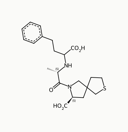 C[C@H](NC(CCc1ccccc1)C(=O)O)C(=O)N1CC2(CCSC2)C[C@H]1C(=O)O